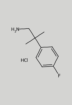 CC(C)(CN)c1ccc(F)cc1.Cl